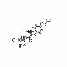 C=CCOc1ccc(C[C@H](NI)C(=O)N[C@H](C=O)CC(C)C)cc1